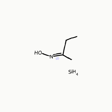 CC/C(C)=N\O.[SiH4]